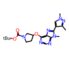 Cc1nn(C)cc1-c1nc2c(OC3CCN(C(=O)OC(C)(C)C)C3)ncnc2n1C